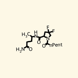 CCCCCC(=O)N1CC(F)(F)CC1C(=O)NC(C)CCC(N)=O